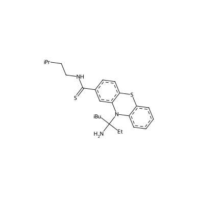 CCC(C)C(N)(CC)N1c2ccccc2Sc2ccc(C(=S)NCCC(C)C)cc21